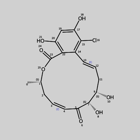 C[C@H]1C/C=C\C(=O)[C@@H](O)[C@@H](O)C/C=C/c2c(Cl)c(O)cc(O)c2C(=O)O1